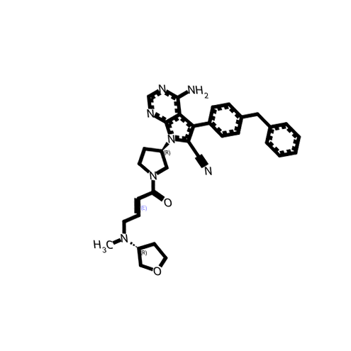 CN(C/C=C/C(=O)N1CC[C@@H](n2c(C#N)c(-c3ccc(Cc4ccccc4)cc3)c3c(N)ncnc32)C1)[C@@H]1CCOC1